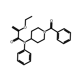 C=C(OCC)C(=O)N(c1ccccc1)C1CCN(C(=O)c2ccccc2)CC1